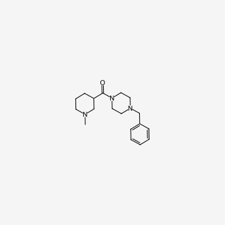 CN1CCCC(C(=O)N2CCN(Cc3ccccc3)CC2)C1